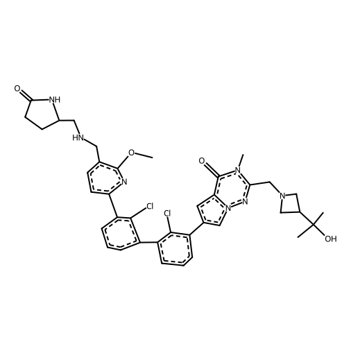 COc1nc(-c2cccc(-c3cccc(-c4cc5c(=O)n(C)c(CN6CC(C(C)(C)O)C6)nn5c4)c3Cl)c2Cl)ccc1CNCC1CCC(=O)N1